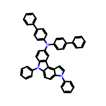 c1ccc(-c2ccc(N(c3ccc(-c4ccccc4)cc3)c3ccc4c(c3)c3c5ccn(-c6ccccc6)c5ccc3n4-c3ccccc3)cc2)cc1